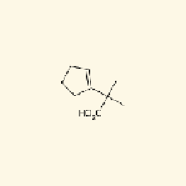 CC(C)(C(=O)O)C1=CCCC1